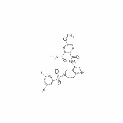 COc1ccc(C(=O)Nc2n[nH]c3c2CN(S(=O)(=O)c2cc(F)cc(F)c2)CC3)c(C(N)=O)c1